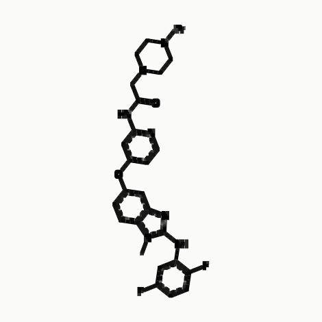 CC(C)N1CCN(CC(=O)Nc2cc(Oc3ccc4c(c3)nc(Nc3cc(F)ccc3F)n4C)ccn2)CC1